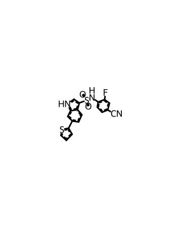 N#Cc1ccc(NS(=O)(=O)c2c[nH]c3cc(-c4cccs4)ccc23)c(F)c1